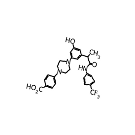 CC(C(=O)Nc1ccc(C(F)(F)F)cc1)c1cc(O)cc(N2CCN(c3ccc(C(=O)O)cc3)CC2)c1